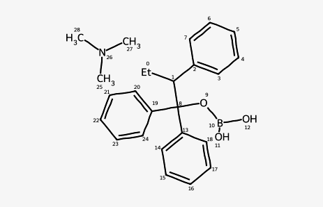 CCC(c1ccccc1)C(OB(O)O)(c1ccccc1)c1ccccc1.CN(C)C